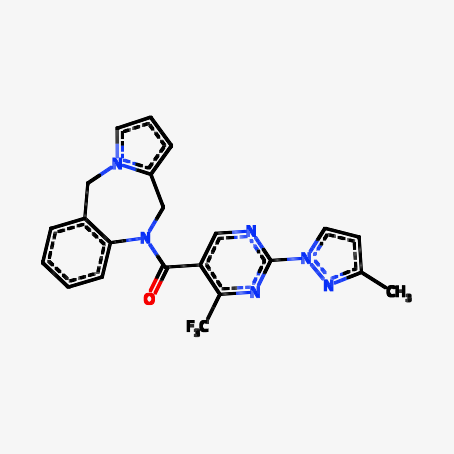 Cc1ccn(-c2ncc(C(=O)N3Cc4cccn4Cc4ccccc43)c(C(F)(F)F)n2)n1